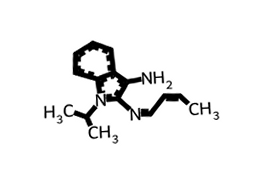 C/C=C\C=N/c1c(N)c2ccccc2n1C(C)C